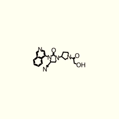 N#CC1CN(C2CCN(C(=O)CO)C2)C(=O)N1c1cncc2ccccc12